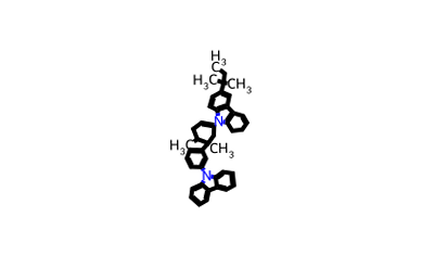 CCC(C)(C)c1ccc2c(c1)c1c(n2C2=CCC(C)C(C)(c3cccc(-n4c5ccccc5c5ccccc54)c3)C2)CCC=C1